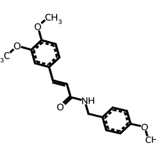 COc1ccc(CNC(=O)C=Cc2ccc(OC)c(OC)c2)cc1